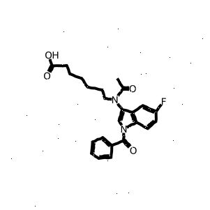 CC(=O)N(CCCCCCC(=O)O)c1cn(C(=O)c2ccccc2)c2ccc(F)cc12